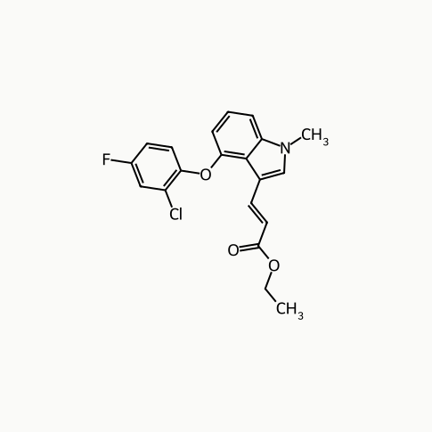 CCOC(=O)/C=C/c1cn(C)c2cccc(Oc3ccc(F)cc3Cl)c12